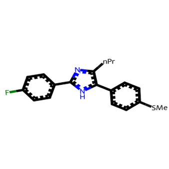 CCCc1nc(-c2ccc(F)cc2)[nH]c1-c1ccc(SC)cc1